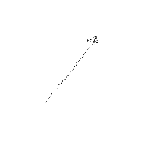 CCCCCCCCCCCCCCCCCCCCCCCCCCCCOP(=O)(O)O